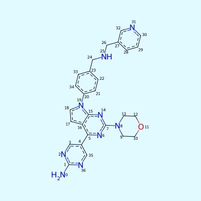 Nc1ncc(-c2nc(N3CCOCC3)nc3c2ccn3-c2ccc(CNCc3cccnc3)cc2)cn1